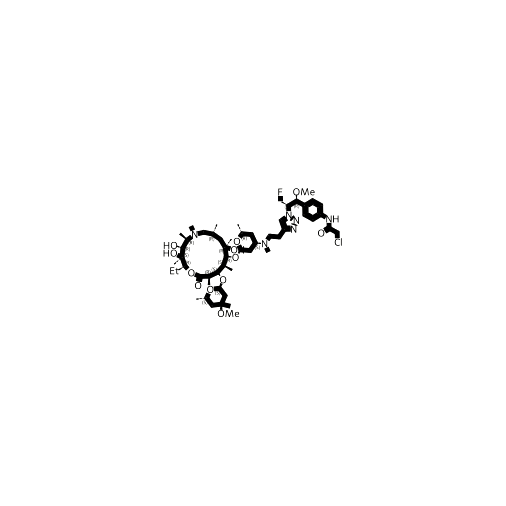 CC[C@H]1OC(=O)[C@H](C)[C@@H](O[C@H]2C[C@@](C)(OC)C[C@H](C)O2)[C@H](C)[C@@H](O[C@H]2C[C@@H](N(C)CCc3cn([C@H](CF)[C@H](OC)c4ccc(NC(=O)CCl)cc4)nn3)C[C@@H](C)O2)[C@](C)(O)C[C@@H](C)CN(C)[C@H](C)[C@@H](O)[C@]1(C)O